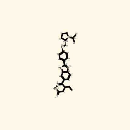 CCC1CC(=O)NN=C1c1ccc2nc(-c3ccc(OC[C@@H]4CCCN4C(C)C)cc3)oc2c1